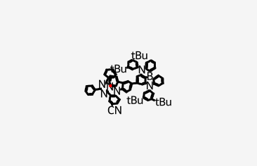 CC(C)(C)c1cc(N2c3ccccc3B3c4ccccc4N(c4cc(C(C)(C)C)cc(C(C)(C)C)c4)c4cc(-c5ccc6c(c5)c5ccccc5n6-c5ccc(C#N)cc5-c5nc(-c6ccccc6)nc(-c6ccccc6)n5)cc2c43)cc(C(C)(C)C)c1